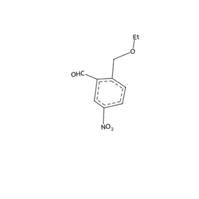 CCOCc1ccc([N+](=O)[O-])cc1C=O